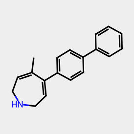 CC1=CCNCC=C1c1ccc(-c2ccccc2)cc1